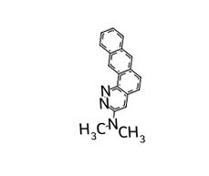 CN(C)c1cc2ccc3cc4ccccc4cc3c2nn1